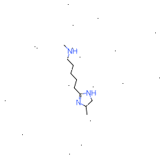 CNCCCCCC1=NC(C)CN1